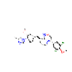 COc1cc(/C=C2\CCCN3C2=NOC[C@@H]3c2cc(F)c(OC)c(F)c2)ccc1-n1cnc(C)c1